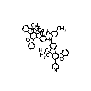 Cc1ccc(N(c2ccc3c(c2)C(C)(C)c2cc(-c4ccncc4)c4oc5ccccc5c4c2-3)c2ccc3c(c2)C(C)(C)c2c4c(c5oc6ccccc6c5c2-3)-c2ccccc2C4(C)C)c(C)c1